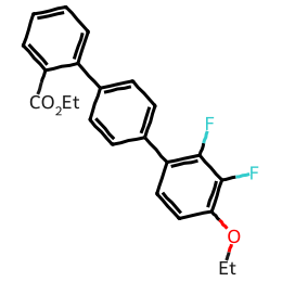 CCOC(=O)c1ccccc1-c1ccc(-c2ccc(OCC)c(F)c2F)cc1